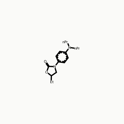 CCCN(CCC)c1ccc(N2CC(CC)OC2=O)cc1